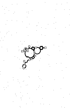 CC[C@@H]1CC/C=C/[C@H](OCCC(=O)N2CCOCC2)[C@@H]2CC[C@H]2CN2CCCCc3cc(Cl)ccc3COc3ccc(cc32)C(=O)NS1(=O)=O